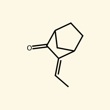 C/C=C1/C(=O)C2CCC1C2